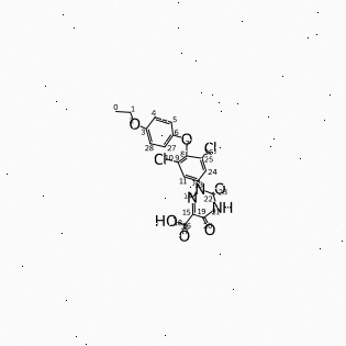 CCOc1ccc(Oc2c(Cl)cc(-n3nc(C(=O)O)c(=O)[nH]c3=O)cc2Cl)cc1